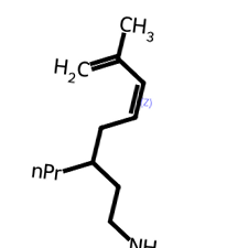 C=C(C)/C=C\CC(CCC)CCN